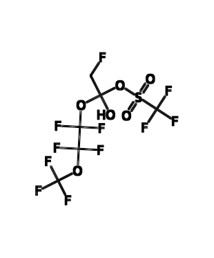 O=S(=O)(OC(O)(CF)OC(F)(F)C(F)(F)OC(F)(F)F)C(F)(F)F